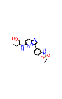 CCC(CO)Nc1ccc2ncc(-c3cccc(NS(=O)(=O)CC)c3)n2n1